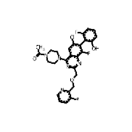 CC(=O)N1CCN(c2nc(COCc3ncccc3F)nc3c(F)c(-c4c(O)cccc4F)c(Cl)cc23)CC1